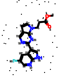 COC(=O)CCn1ccc2cnc(-c3c[nH]c4ncc(F)cc34)nc21